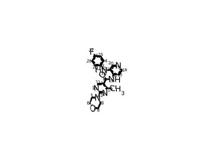 Cc1nc(N2CCOCC2)ncc1C(=O)Nc1ccncc1Nc1ccc(F)cc1